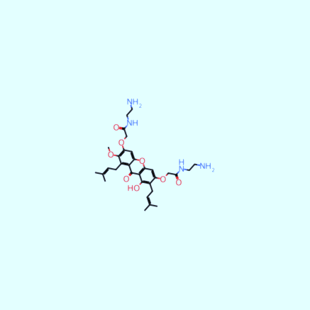 COc1c(OCC(=O)NCCN)cc2oc3cc(OCC(=O)NCCN)c(CC=C(C)C)c(O)c3c(=O)c2c1CC=C(C)C